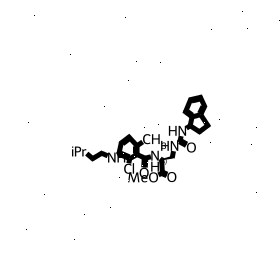 COC(=O)[C@H](CNC(=O)NC1CCc2ccccc21)NC(=O)c1c(C)ccc(NCCC(C)C)c1Cl